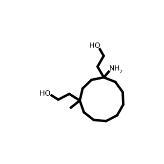 CC1(CCO)CCCCCCCC(N)(CCO)CC1